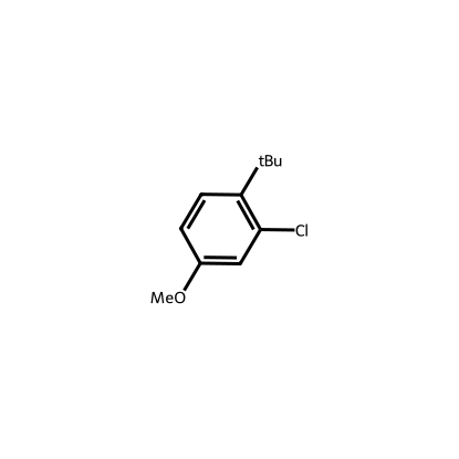 COc1ccc(C(C)(C)C)c(Cl)c1